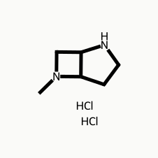 CN1CC2NCCC21.Cl.Cl